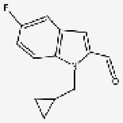 O=Cc1cc2cc(F)ccc2n1CC1CC1